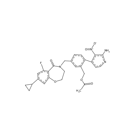 CC(=O)OCc1cc(CN2CCOc3cc(C4CC4)cc(F)c3C2=O)ccc1-c1ccnc(N)c1[N+](=O)[O-]